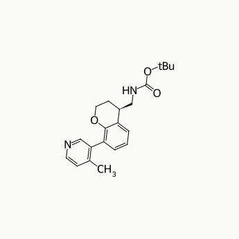 Cc1ccncc1-c1cccc2c1OCC[C@H]2CNC(=O)OC(C)(C)C